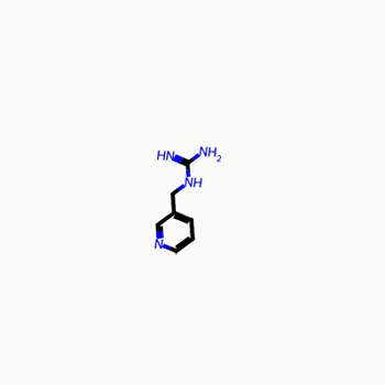 N=C(N)NCc1cc[c]nc1